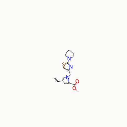 C=Cc1cc(C(=O)OC)n(Cc2csc(N3CCCCC3)n2)c1